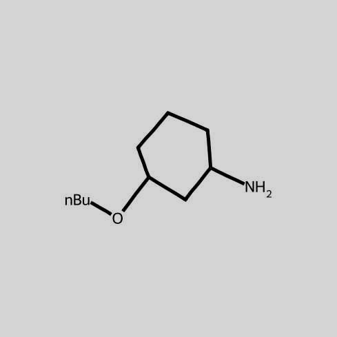 CCCCOC1CCCC(N)C1